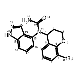 CC(C)(C)c1cccc2c1OCCC2N(C(N)=O)c1cccc2[nH]ncc12